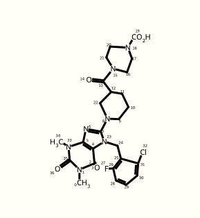 Cn1c(=O)c2c(nc(N3CCCC(C(=O)N4CCN(C(=O)O)CC4)C3)n2Cc2c(F)cccc2Cl)n(C)c1=O